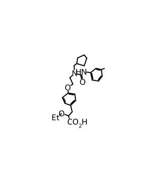 CCOC(Cc1ccc(OCCN(CC2CCCC2)C(=O)Nc2cccc(C)c2)cc1)C(=O)O